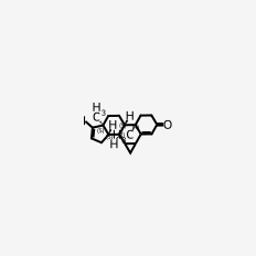 C[C@]12CCC(=O)C=C1C1CC1[C@@H]1[C@@H]2CC[C@]2(C)C(I)=CC[C@@H]12